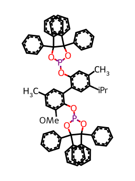 COc1cc(C)cc(-c2cc(C(C)C)c(C)cc2OP2OC(c3ccccc3)(c3ccccc3)C(c3ccccc3)(c3ccccc3)O2)c1OP1OC(c2ccccc2)(c2ccccc2)C(c2ccccc2)(c2ccccc2)O1